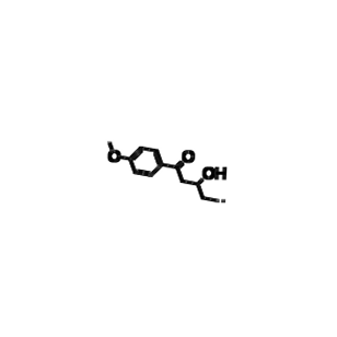 [CH2]CC(O)CC(=O)c1ccc(OC)cc1